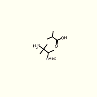 CC(C)C(=O)O.CCCCCCC(C)C(C)(C)N